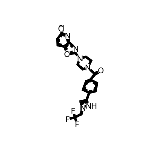 O=C(c1ccc(-c2cn(CC(F)(F)F)[nH]2)cc1)N1CCN(c2nc3nc(Cl)ccc3o2)CC1